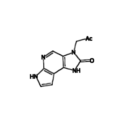 CC(=O)Cn1c(=O)[nH]c2c3cc[nH]c3ncc21